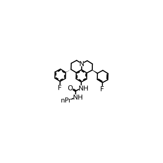 CCCNC(=O)Nc1cc2c3c(c1)[C@H](C1C=C(F)C=CC1)CCN3CC[C@H]2c1cccc(F)c1